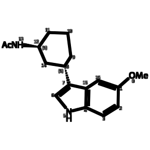 COc1ccc2[nH]cc([C@H]3CCC[C@H](NC(C)=O)C3)c2c1